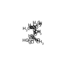 CC(=O)N1CCN(c2nc(NCCC(=O)N(C)CCC[C@@H](C(=O)N3C[C@H](O)C[C@H]3C(=O)N[C@@H](C)c3ccc(-c4scnc4C)cc3)c3cc(C)no3)nc3c(F)c(-c4cc(O)cc5ccccc45)c(Cl)cc23)CC1